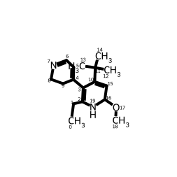 CCC1=C(C2=CC=NCC2)C(C(C)(C)C)=CC(OC)N1